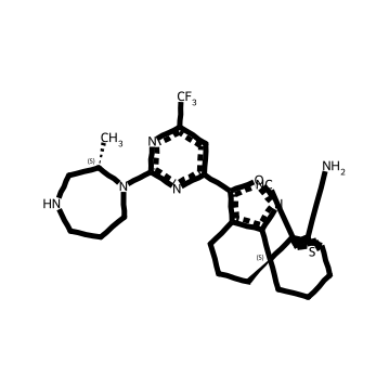 C[C@H]1CNCCCN1c1nc(-c2onc3c2CCC[C@@]32CCCc3sc(N)c(C#N)c32)cc(C(F)(F)F)n1